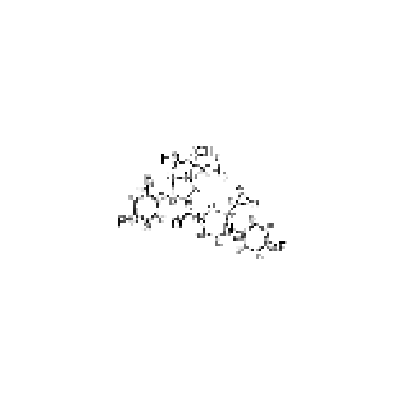 CC(C)(C)N1CC(C(=O)N2CCN(c3ccc(F)cc3)C(C3CC3)C2)C(c2ccc(F)cc2F)C1